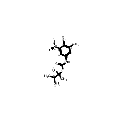 Cc1cc(NC(=O)OC(C)(C)C(C)[SiH3])cc([N+](=O)[O-])c1Br